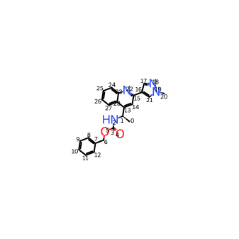 C[C@@H](NC(=O)OCc1ccccc1)c1cc(-c2cnn(C)c2)nc2ccccc12